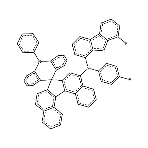 Fc1ccc(N(c2cc3c(c4ccccc24)-c2c(ccc4ccccc24)C32c3ccccc3N(c3ccccc3)c3ccccc32)c2cccc3c2oc2c(F)cccc23)cc1